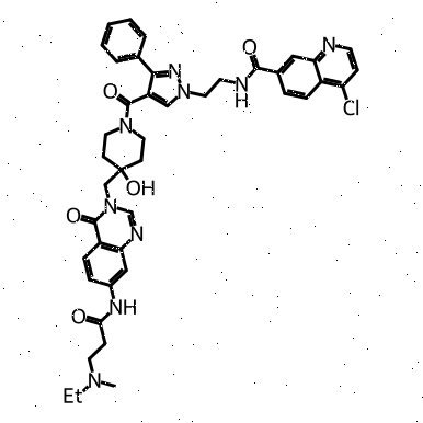 CCN(C)CCC(=O)Nc1ccc2c(=O)n(CC3(O)CCN(C(=O)c4cn(CCNC(=O)c5ccc6c(Cl)ccnc6c5)nc4-c4ccccc4)CC3)cnc2c1